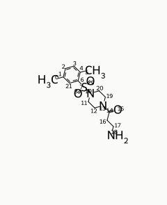 Cc1ccc(C)c(S(=O)(=O)N2CCN(C(=O)CCN)CC2)c1